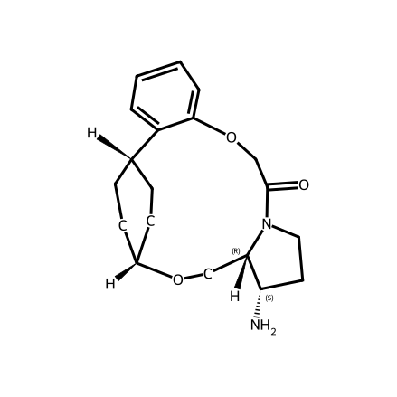 N[C@H]1CCN2C(=O)COc3ccccc3[C@H]3CC[C@H](CC3)OC[C@@H]12